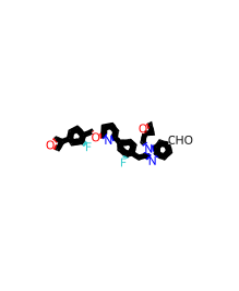 O=Cc1ccc2nc(Cc3ccc(-c4cccc(OCc5ccc(C6COC6)cc5F)n4)cc3F)n(CC3CCO3)c2c1